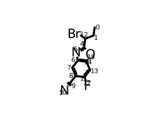 CCC(Br)c1nc2cc(C#N)c(F)cc2o1